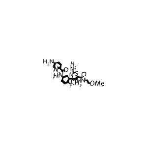 COCCNC(=O)C1=C[C@@](C)(c2cc(NC(=O)c3ccc(N)cn3)ccc2F)N=C(N)S1